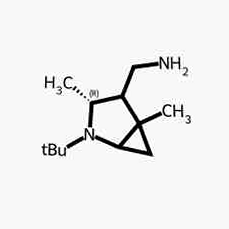 C[C@@H]1C(CN)C2(C)CC2N1C(C)(C)C